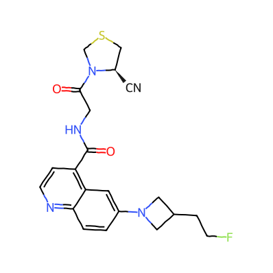 N#C[C@@H]1CSCN1C(=O)CNC(=O)c1ccnc2ccc(N3CC(CCF)C3)cc12